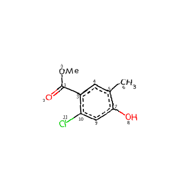 COC(=O)c1cc(C)c(O)cc1Cl